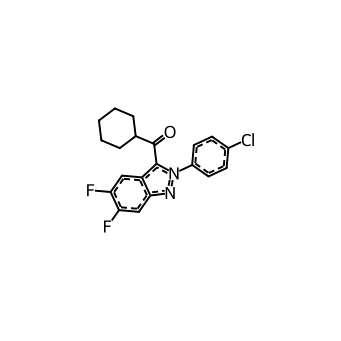 O=C(c1c2cc(F)c(F)cc2nn1-c1ccc(Cl)cc1)C1CCCCC1